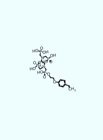 C=Cc1ccc(OCCOP(=O)(O)CN(CCN(CP(=O)(O)O)CP(=O)(O)O)CP(=O)(O)O)cc1